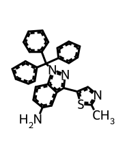 Cc1ncc(-c2nn(C(c3ccccc3)(c3ccccc3)c3ccccc3)c3ccc(N)cc23)s1